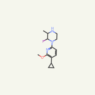 COc1nc(N2CCNC(C)C2I)ccc1C1CC1